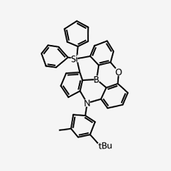 Cc1cc(N2c3cccc4c3B3c5c(cccc5[Si](c5ccccc5)(c5ccccc5)c5cccc2c53)O4)cc(C(C)(C)C)c1